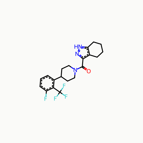 O=C(c1n[nH]c2c1CCCC2)N1CCC(c2cccc(F)c2C(F)(F)F)CC1